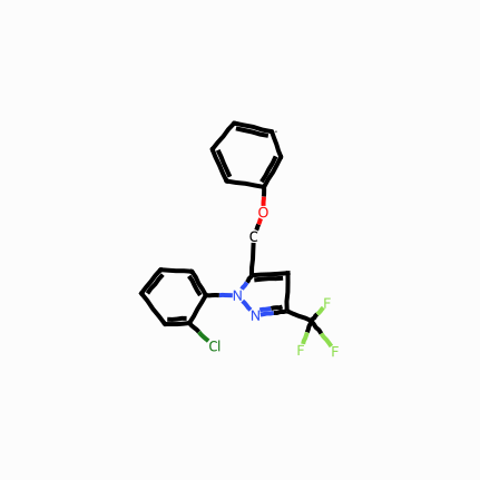 FC(F)(F)c1cc(COc2c[c]ccc2)n(-c2ccccc2Cl)n1